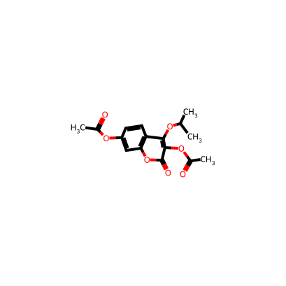 CC(=O)Oc1ccc2c(OC(C)C)c(OC(C)=O)c(=O)oc2c1